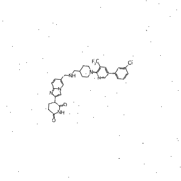 O=C1CCC(c2cn3cc(CNCC4CCN(c5ncc(-c6cccc(Cl)c6)cc5C(F)(F)F)CC4)ccc3n2)C(=O)N1